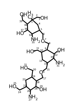 CC1(CO)CC(COCC2C(CO)CC(COCC3C(CO)CC(CO)C(N)C3O)C(N)C2O)C(N)C(O)C1CO